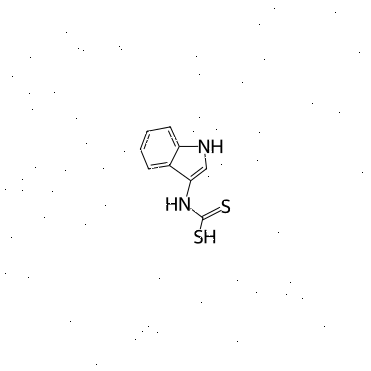 S=C(S)Nc1c[nH]c2ccccc12